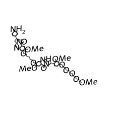 COCCOCCOCCOCCOc1ccc(C2=CN3C(=O)c4cc(OC)c(OCCCCCOc5cc6c(cc5OC)C(=O)N5C=C(c7ccc(N)cc7)CC5C=N6)cc4N=C[C@H]3C2)c(OC)c1